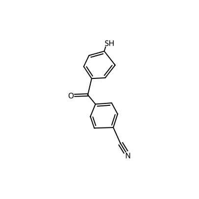 N#Cc1ccc(C(=O)c2ccc(S)cc2)cc1